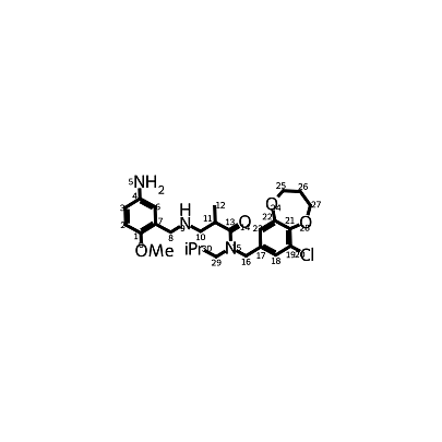 COc1ccc(N)cc1CNCC(C)C(=O)N(Cc1cc(Cl)c2c(c1)OCCCO2)CC(C)C